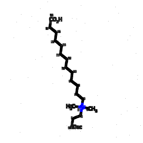 CCCCCCCCCCCC[N+](C)(C)CCCCCCCCCCCCC(=O)O